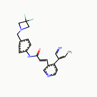 C/C=C(\C=N)c1ccncc1/C=C/C(=O)Nc1ccc(CN2CC(F)(F)C2)cc1